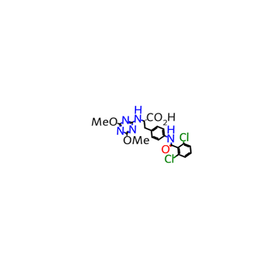 COc1nc(N[C@@H](Cc2ccc(NC(=O)c3c(Cl)cccc3Cl)cc2)C(=O)O)nc(OC)n1